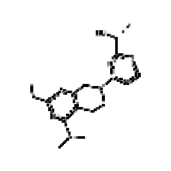 CCc1nc2c(c(N(C)C)n1)CCN(c1ccnc([C@@H](C)O)n1)C2